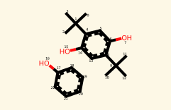 CC(C)(C)c1cc(O)c(C(C)(C)C)cc1O.Oc1ccccc1